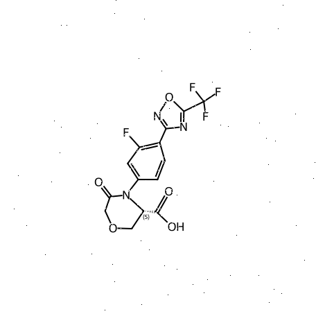 O=C(O)[C@@H]1COCC(=O)N1c1ccc(-c2noc(C(F)(F)F)n2)c(F)c1